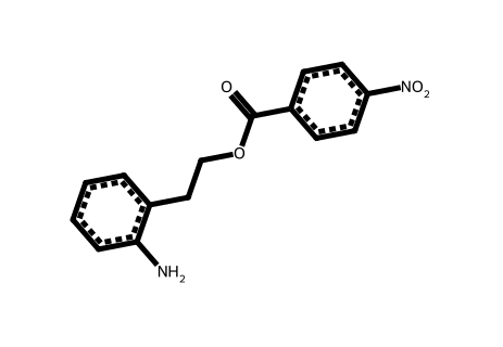 Nc1ccccc1CCOC(=O)c1ccc([N+](=O)[O-])cc1